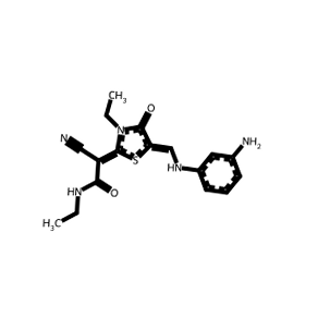 CCNC(=O)C(C#N)=c1sc(=CNc2cccc(N)c2)c(=O)n1CC